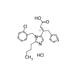 CCCCc1ncc(/C(=C/C(=O)O)Cc2ccsc2)n1Cc1ccccc1Cl.Cl